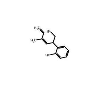 C=C/C(C)=C\C(CC(C)C)c1ccccc1O